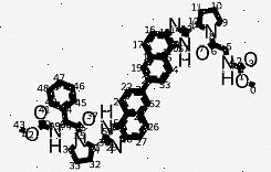 COC(=O)NCC(=O)N1CCC[C@H]1c1nc2ccc3cc(-c4ccc5c(ccc6nc([C@@H]7CCCN7C(=O)[C@H](NC(=O)OC)c7ccccc7)[nH]c65)c4)ccc3c2[nH]1